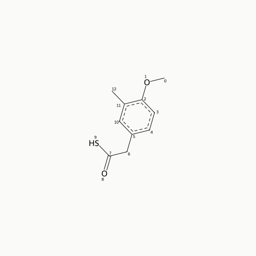 COc1ccc(CC(=O)S)cc1C